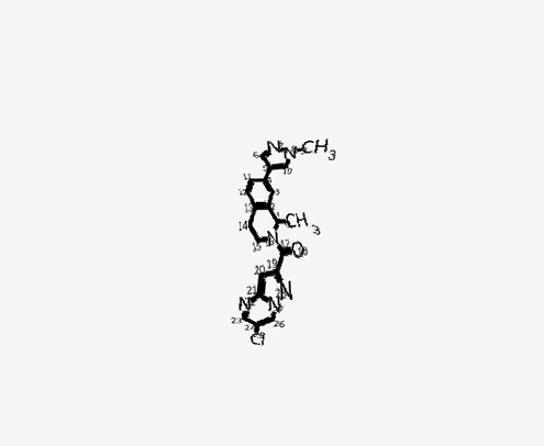 CC1c2cc(-c3cnn(C)c3)ccc2CCN1C(=O)c1cc2ncc(Cl)cn2n1